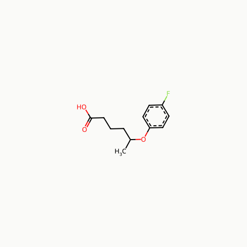 CC(CCCC(=O)O)Oc1ccc(F)cc1